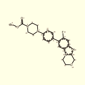 CC(C)(C)OC(=O)N1CCN(c2ccc(-c3cc4c(cc3F)nc3n4CCOC3)cn2)CC1